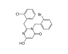 O=c1cc(O)nc(Cc2ccccc2Cl)n1Cc1ccccc1Br